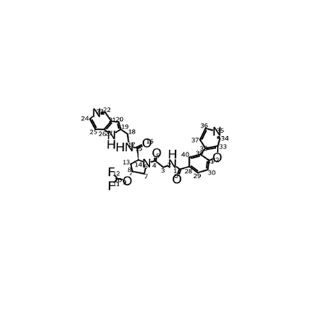 O=C(NCC(=O)N1C[C@H](OC(F)F)C[C@H]1C(=O)NCc1cc2cnccc2[nH]1)c1ccc2oc3cnccc3c2c1